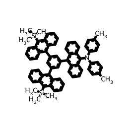 Cc1ccc(N(c2ccc(C)cc2)c2c3ccccc3c(-c3cc(-c4c5ccccc5c([Si](C)(C)C)c5ccccc45)cc(-c4c5ccccc5c([Si](C)(C)C)c5ccccc45)c3)c3ccccc23)cc1